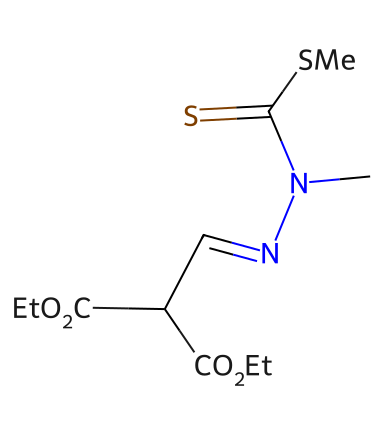 CCOC(=O)C(C=NN(C)C(=S)SC)C(=O)OCC